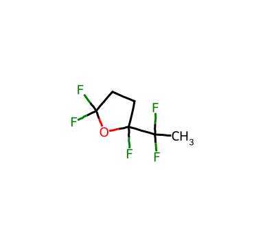 CC(F)(F)C1(F)CCC(F)(F)O1